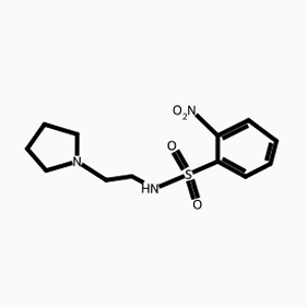 O=[N+]([O-])c1ccccc1S(=O)(=O)NCCN1CCCC1